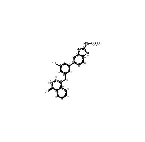 CCOC(=O)Nc1nc2cc(-c3cc(F)cc(Cc4n[nH]c(=O)c5ccccc45)c3)ccc2[nH]1